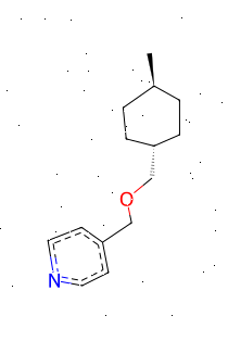 C[C@H]1CC[C@H](COCc2ccncc2)CC1